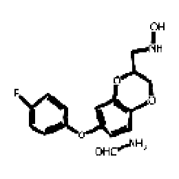 NC=O.ONCC1COc2ccc(Oc3ccc(F)cc3)cc2O1